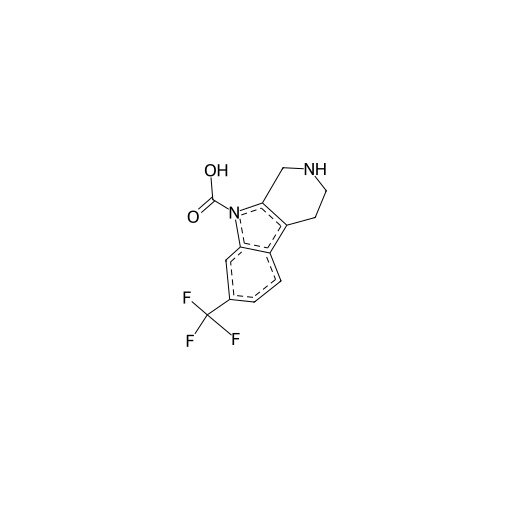 O=C(O)n1c2c(c3ccc(C(F)(F)F)cc31)CCNC2